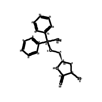 C[CH]C1C[C@@H](CO[Si](c2ccccc2)(c2ccccc2)C(C)(C)C)OC1=O